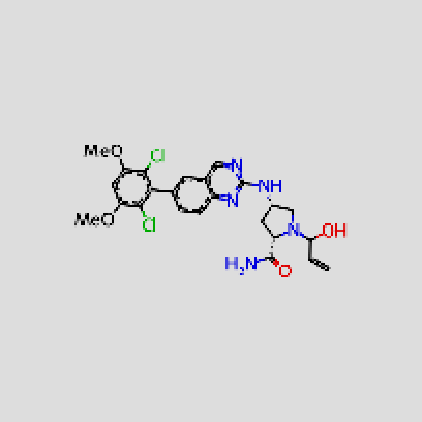 C=CC(O)N1C[C@@H](Nc2ncc3cc(-c4c(Cl)c(OC)cc(OC)c4Cl)ccc3n2)C[C@H]1C(N)=O